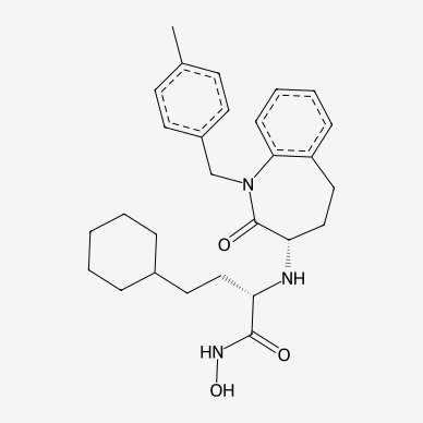 Cc1ccc(CN2C(=O)[C@@H](N[C@@H](CCC3CCCCC3)C(=O)NO)CCc3ccccc32)cc1